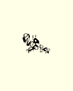 CC(=O)N(C)c1cc(NC(=O)[C@@H]2O[C@@](C)(C(F)(F)F)[C@@H](C)[C@H]2c2ccc(F)c(F)c2OCCN2CCOCC2)ccn1